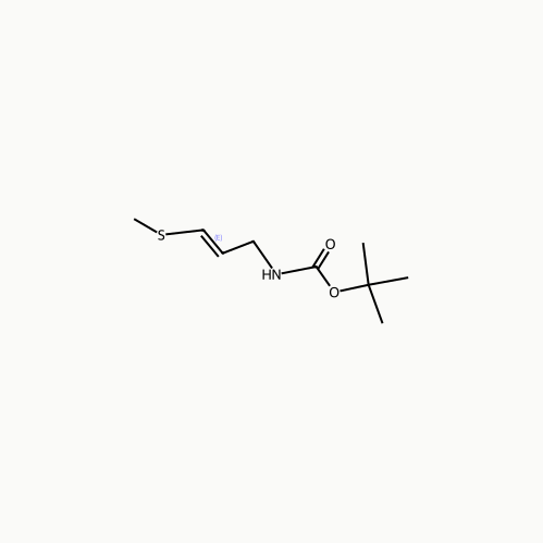 CS/C=C/CNC(=O)OC(C)(C)C